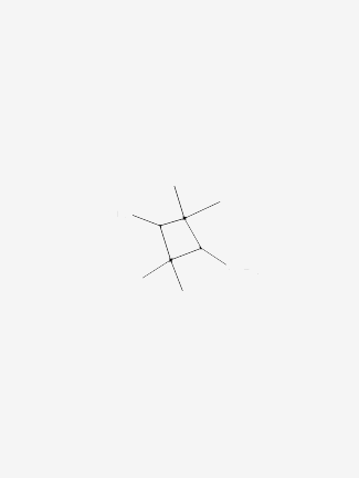 CC(C)COC1C(C)(C)C(OCC(C)C)C1(C)C